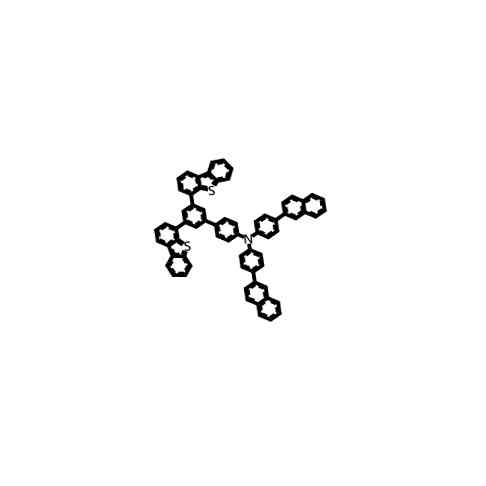 c1ccc2cc(-c3ccc(N(c4ccc(-c5cc(-c6cccc7c6sc6ccccc67)cc(-c6cccc7c6sc6ccccc67)c5)cc4)c4ccc(-c5ccc6ccccc6c5)cc4)cc3)ccc2c1